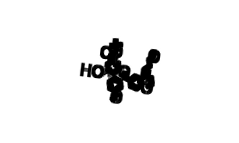 COCCCN1CCOc2ccc(CO[C@H]3CN(C(=O)OC(C)(C)C)C[C@@H](CO)[C@@H]3c3ccc(OC)cc3)cc21